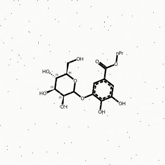 CCCOC(=O)c1cc(O)c(O)c(OC2O[C@H](CO)[C@@H](O)[C@H](O)[C@@H]2O)c1